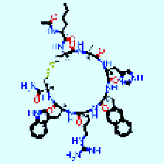 CCCC[C@H](NC(C)=O)C(=O)N[C@H]1CSSC[C@@H](C(N)=O)NC(=O)[C@H](Cc2c[nH]c3ccccc23)NC(=O)[C@H](CCCNC(=N)N)NC(=O)[C@@H](Cc2ccc3ccccc3c2)NC(=O)[C@H](Cc2c[nH]cn2)NC(=O)[C@@H](C)NC1=O